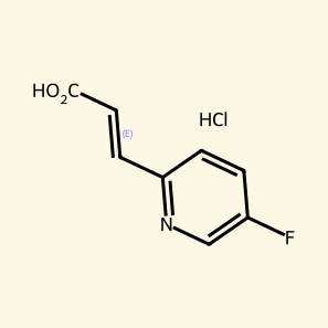 Cl.O=C(O)/C=C/c1ccc(F)cn1